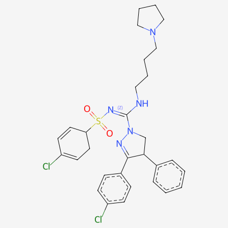 O=S(=O)(/N=C(/NCCCCN1CCCC1)N1CC(c2ccccc2)C(c2ccc(Cl)cc2)=N1)C1C=CC(Cl)=CC1